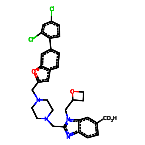 O=C(O)c1ccc2nc(CN3CCN(Cc4cc5ccc(-c6ccc(Cl)cc6Cl)cc5o4)CC3)n(CC3CCO3)c2c1